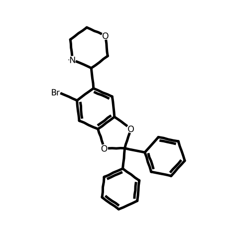 Brc1cc2c(cc1C1COCC[N]1)OC(c1ccccc1)(c1ccccc1)O2